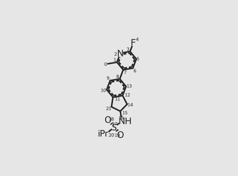 Cc1nc(F)ccc1-c1ccc2c(c1)CC(NS(=O)(=O)C(C)C)C2